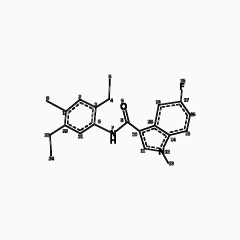 Cc1cc(CI)c(NC(=O)c2cn(C)c3ccc(F)cc23)cc1CI